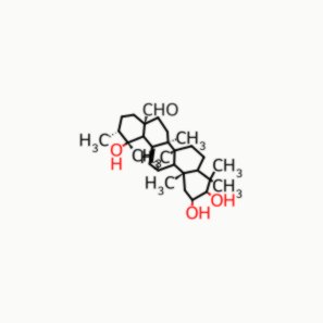 C[C@@H]1CC[C@]2(C=O)CC[C@]3(C)C(=CCC4[C@@]5(C)C[C@H](O)[C@H](O)C(C)(C)C5CC[C@]43C)C2[C@]1(C)O